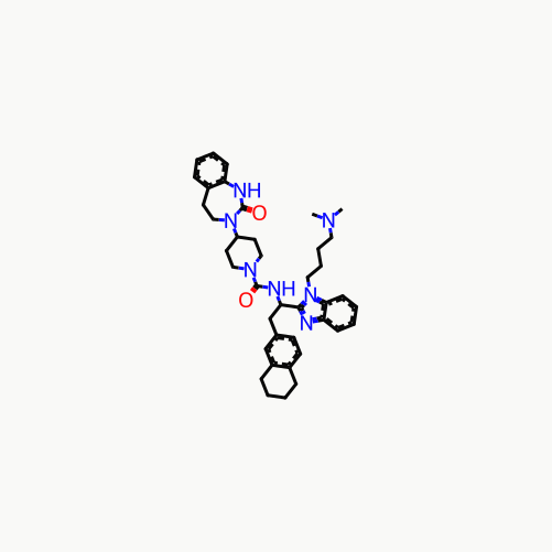 CN(C)CCCCn1c(C(Cc2ccc3c(c2)CCCC3)NC(=O)N2CCC(N3CCc4ccccc4NC3=O)CC2)nc2ccccc21